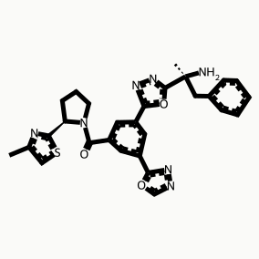 Cc1csc([C@H]2CCCN2C(=O)c2cc(-c3nnco3)cc(-c3nnc([C@@](C)(N)Cc4ccccc4)o3)c2)n1